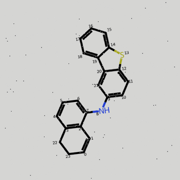 C1=Cc2c(cccc2Nc2ccc3sc4ccccc4c3c2)CC1